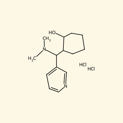 CN(C)C(c1cccnc1)C1CCCCC1O.Cl.Cl